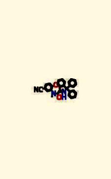 CN1C(=O)[C@@H](NC(c2ccccc2)(c2ccccc2)c2ccccc2)COc2ccc(C#N)cc21